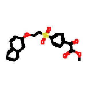 COC(=O)C(=O)c1ccc(S(=O)(=O)CCOc2ccc3ccccc3c2)cc1